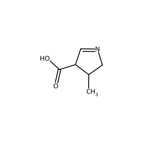 CC1CN=CC1C(=O)O